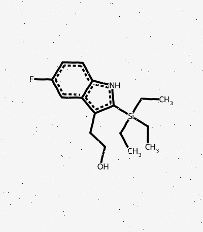 CC[Si](CC)(CC)c1[nH]c2ccc(F)cc2c1CCO